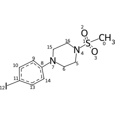 CS(=O)(=O)N1CCN(c2ccc(I)cc2)CC1